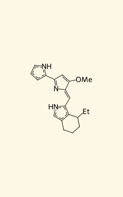 CCC1CCCc2c[nH]c(C=C3N=C(c4ccc[nH]4)C=C3OC)c21